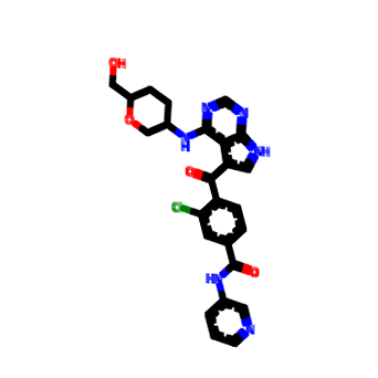 O=C(Nc1cccnc1)c1ccc(C(=O)c2c[nH]c3ncnc(NC4CCC(CO)OC4)c23)c(Cl)c1